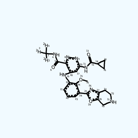 [2H]C([2H])([2H])NC(=O)c1nnc(NC(=O)C2CC2)cc1Nc1cccc(-c2nc3c(o2)CNCC3)c1OC